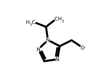 CC(C)n1ncnc1C[O]